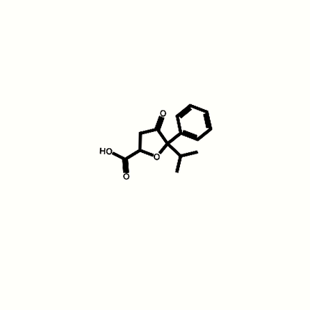 CC(C)C1(c2ccccc2)OC(C(=O)O)CC1=O